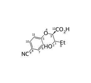 CCC(O)[C@@H](Oc1ccc(C#N)cc1)C(=O)O